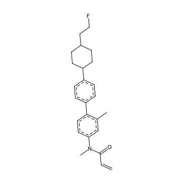 C=CC(=O)N(C)c1ccc(-c2ccc(C3CCC(CCF)CC3)cc2)c(C)c1